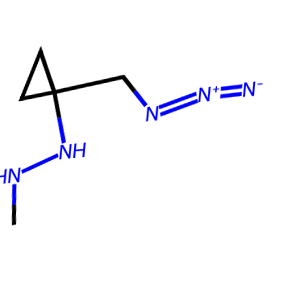 CNNC1(CN=[N+]=[N-])CC1